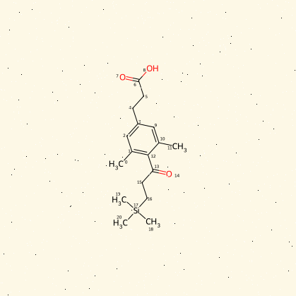 Cc1cc(CCC(=O)O)cc(C)c1C(=O)CC[Si](C)(C)C